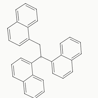 c1ccc2c(C[C](c3cccc4ccccc34)c3cccc4ccccc34)cccc2c1